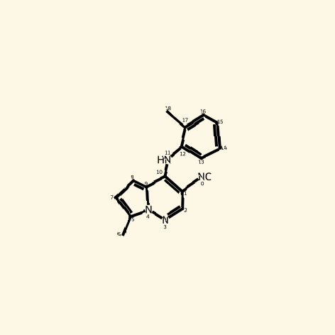 [C-]#[N+]c1cnn2c(C)ccc2c1Nc1ccccc1C